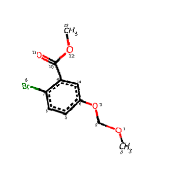 COCOc1ccc(Br)c(C(=O)OC)c1